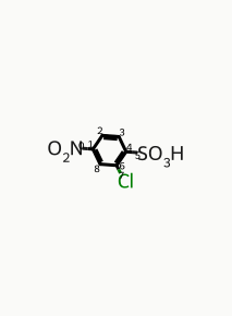 O=[N+]([O-])c1ccc(S(=O)(=O)O)c(Cl)c1